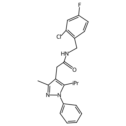 Cc1nn(-c2ccccc2)c(C(C)C)c1CC(=O)NCc1ccc(F)cc1Cl